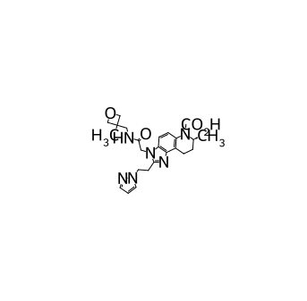 C[C@H]1CCc2c(ccc3c2nc(CCn2cccn2)n3CC(=O)NCC2(C)COC2)N1C(=O)O